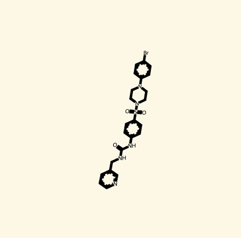 O=C(NCc1cccnc1)Nc1ccc(S(=O)(=O)N2CCN(c3ccc(Br)cc3)CC2)cc1